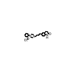 CCOc1ccccc1N1CCN(CC/C=C/c2ccc3c(c2)CCC(=O)N3)CC1